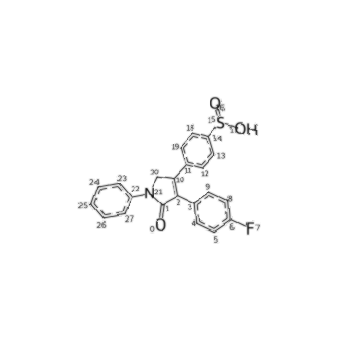 O=C1C(c2ccc(F)cc2)=C(c2ccc(S(=O)O)cc2)CN1c1ccccc1